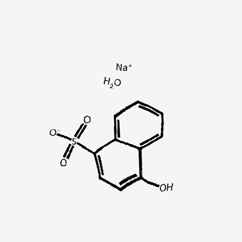 O.O=S(=O)([O-])c1ccc(O)c2ccccc12.[Na+]